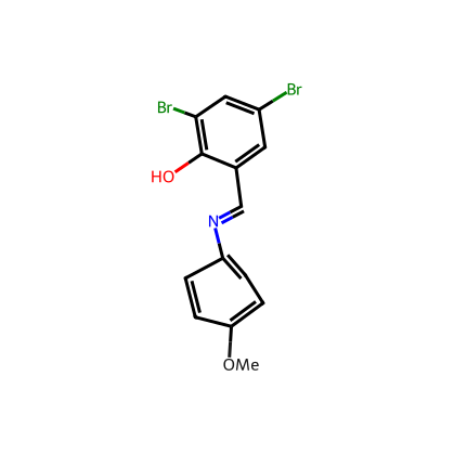 COc1ccc(/N=C/c2cc(Br)cc(Br)c2O)cc1